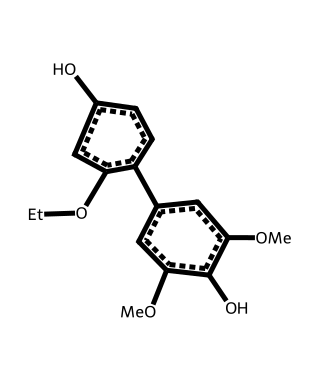 CCOc1cc(O)ccc1-c1cc(OC)c(O)c(OC)c1